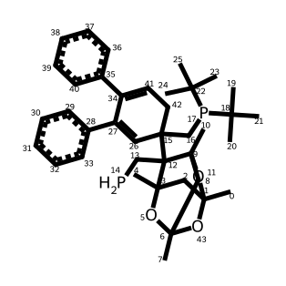 CC12CC3(C)OC(C)(CC(C)(O1)C3(CP)C1(CP(C(C)(C)C)C(C)(C)C)C=C(c3ccccc3)C(c3ccccc3)=CC1)O2